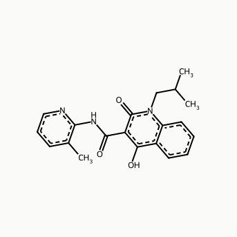 Cc1cccnc1NC(=O)c1c(O)c2ccccc2n(CC(C)C)c1=O